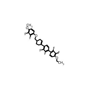 CCOc1ccc(-c2ccc(C3=CCC(COc4ccc(OC)c(F)c4F)CC3)c(F)c2F)c(F)c1F